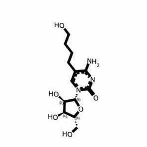 Nc1nc(=O)n([C@@H]2O[C@H](CO)[C@@H](O)[C@H]2O)cc1CCCCO